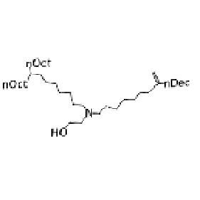 C=C(CCCCCCCCCC)CCCCCCCN(CCO)CCCCCCCC(CCCCCCCC)CCCCCCCC